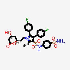 CC(C)c1c(S(=O)(=O)Nc2ccc(S(N)(=O)=O)cc2)c(-c2ccc(F)cc2)c(-c2ccc(F)cc2)n1CC[C@@H]1C[C@@H](O)CC(=O)O1